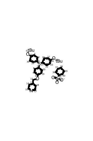 CC(C)(C)Oc1ccc([S+](c2ccc(OCc3ccncc3)cc2)c2ccc(OC(C)(C)C)cc2)cc1.O=S(=O)([O-])c1ccccc1